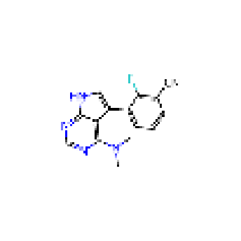 CN(C)c1ncnc2[nH]cc(-c3cccc(C#N)c3F)c12